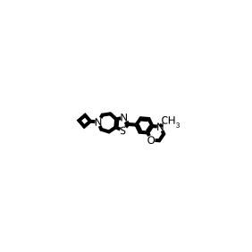 CN1CCOc2cc(-c3nc4c(s3)CCN(C3CCC3)CC4)ccc21